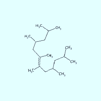 CC(CC(C)CC(C)C)=C(C)CC(C)CC(C)C